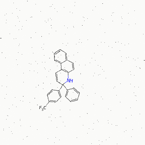 FC(F)(F)c1ccc(C2(c3ccccc3)C=Cc3c(ccc4ccccc34)N2)cc1